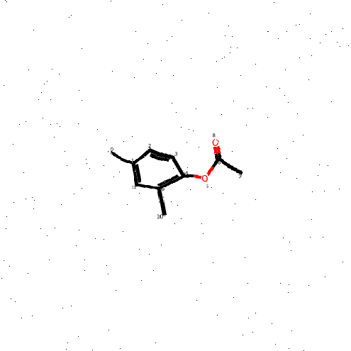 [CH2]c1ccc(OC(C)=O)c(C)c1